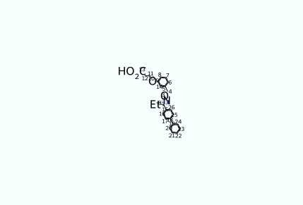 CC/C(=N\OCc1cccc(OCCC(=O)O)c1)c1ccc(-c2ccccc2)cc1